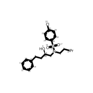 CC(C)CCN(C[C@H](O)[CH]Cc1ccccc1)S(=O)(=O)c1ccc(Cl)cc1